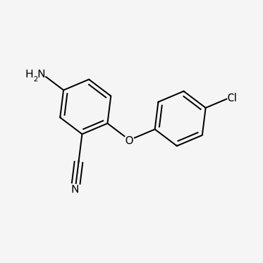 N#Cc1cc(N)ccc1Oc1ccc(Cl)cc1